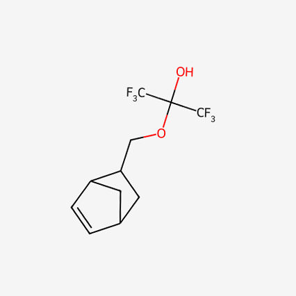 OC(OCC1CC2C=CC1C2)(C(F)(F)F)C(F)(F)F